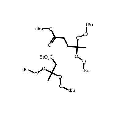 CCCCOC(=O)CCC(C)(OOC(C)(C)C)OOC(C)(C)C.CCOC(=O)CC(C)(OOC(C)(C)C)OOC(C)(C)C